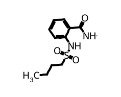 CCCCS(=O)(=O)Nc1ccccc1C([NH])=O